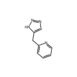 [c]1nn[nH]c1Cc1ccccn1